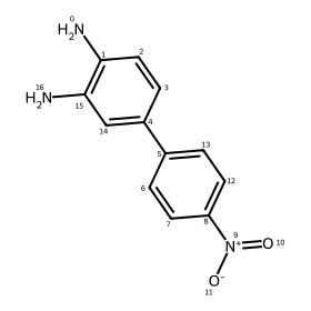 Nc1ccc(-c2ccc([N+](=O)[O-])cc2)cc1N